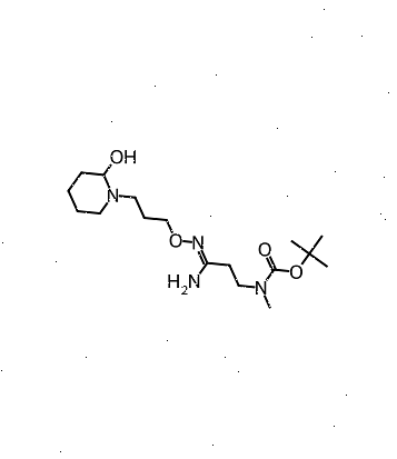 CN(CCC(N)=NOCCCN1CCCCC1O)C(=O)OC(C)(C)C